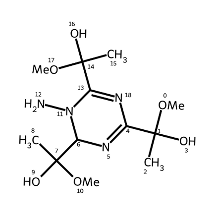 COC(C)(O)C1=NC(C(C)(O)OC)N(N)C(C(C)(O)OC)=N1